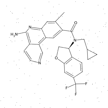 Cc1cc2nc(N)c3ccncc3c2cc1C(=O)N(CC1CC1)[C@@H]1COc2cc(C(F)(F)F)ccc21